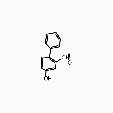 C=O.Oc1ccc(-c2ccccc2)c(O)c1